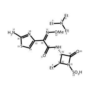 CCN(CC)CC.CC[C@H]1[C@H](NC(=O)C(=NOC)c2csc(N)n2)C(=O)N1S(=O)(=O)O